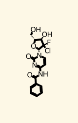 O=C(Nc1ccn([C@@H]2O[C@H](CO)[C@@H](O)[C@]2(F)Cl)c(=O)n1)c1ccccc1